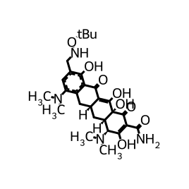 CN(C)c1cc(CNOC(C)(C)C)c(O)c2c1C[C@H]1C[C@H]3[C@H](N(C)C)C(O)=C(C(N)=O)C(=O)[C@@]3(O)C(O)=C1C2=O